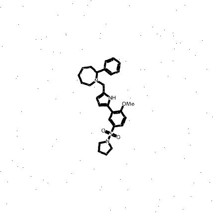 COc1ccc(S(=O)(=O)N2CCCC2)cc1-c1ccc(CN2CCCCCC2c2ccccc2)[nH]1